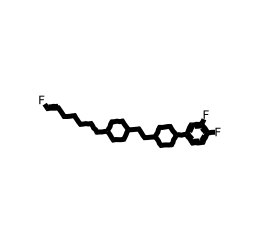 FC=CCCCCCC1CCC(CCC2CCC(c3ccc(F)c(F)c3)CC2)CC1